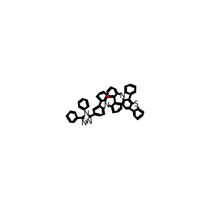 c1ccc(-c2nnc(-c3ccc4c(c3)c3ccccc3n4-c3ccccc3-c3ccccc3-n3c4ccccc4c4c5sc6ccccc6c5ccc43)n2-c2ccccc2)cc1